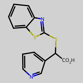 O=C(O)C(Sc1nc2ccccc2s1)c1cccnc1